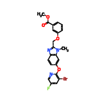 COC(=O)c1cccc(OCc2nc3ccc(Oc4ncc(F)cc4Br)cc3n2C)c1